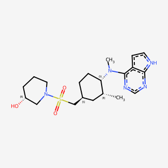 C[C@@H]1C[C@@H](CS(=O)(=O)N2CCC[C@@H](O)C2)CC[C@@H]1N(C)c1ncnc2[nH]ccc12